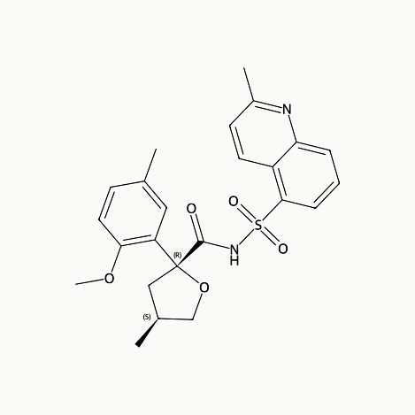 COc1ccc(C)cc1[C@@]1(C(=O)NS(=O)(=O)c2cccc3nc(C)ccc23)C[C@H](C)CO1